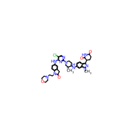 C[C@@H]1CN(c2ncc(Cl)c(Nc3ccc4c(c3)CC(=O)N4CCN3CCOCC3)n2)CC[C@H]1Nc1ccc2c(C3CCC(=O)NC3=O)nn(C)c2c1